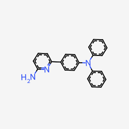 Nc1cccc(-c2ccc(N(c3ccccc3)c3ccccc3)cc2)n1